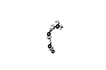 CC(=O)Oc1ccc([C@@H](O)CNCCc2ccc3c(c2)O[C@H](COCc2cccc(S(=O)(=O)C4CCCC4)c2)CO3)cc1CO